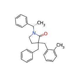 Cc1ccccc1CC1(Cc2ccccc2)CCN([C@@H](C)c2ccccc2)C1=O